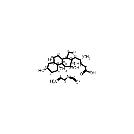 C=CCN=C=S.C[C@H](CCC(=O)O)[C@H]1CCC2C3CC[C@@H]4C[C@H](O)CC[C@]4(C)C3C[C@H](O)[C@@]21C